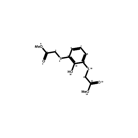 COC(=O)CSc1cccc(SCC(=O)OC)c1O